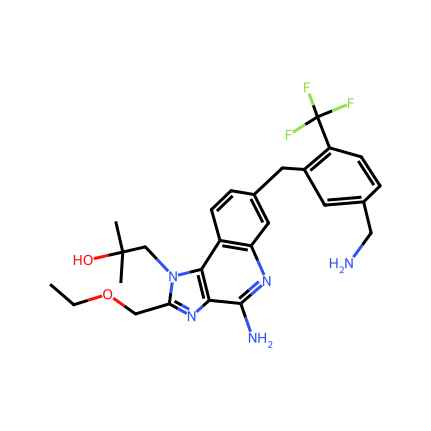 CCOCc1nc2c(N)nc3cc(Cc4cc(CN)ccc4C(F)(F)F)ccc3c2n1CC(C)(C)O